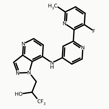 Cc1ccc(F)c(-c2cc(Nc3ccnc4cnn(CC(O)C(F)(F)F)c34)ccn2)n1